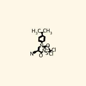 CC(C)c1ccc(-n2cc(C#N)c(=O)n(SC(Cl)(Cl)Cl)c2=O)cc1